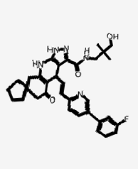 CC(C)(CO)CNC(=O)c1n[nH]c2c1C(C=Cc1ccc(-c3cccc(F)c3)cn1)C1=C(CC3(CCCC3)CC1=O)N2